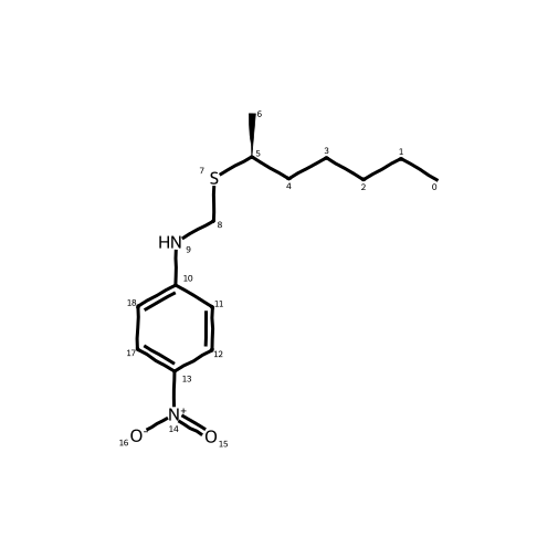 CCCCC[C@H](C)SCNc1ccc([N+](=O)[O-])cc1